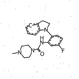 CN1CCN(C(=O)Nc2cc(F)ccc2N2CCc3ccccc32)CC1